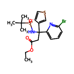 CCOC(=O)CC(N[S+]([O-])C(C)(C)C)(c1ccsc1)c1cccc(Br)n1